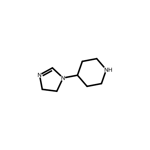 C1=NCCN1C1CCNCC1